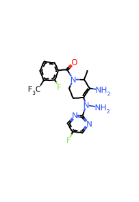 CC1C(N)=C(N(N)c2ncc(F)cn2)CCN1C(=O)c1cccc(C(F)(F)F)c1F